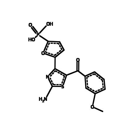 COc1cccc(C(=O)c2sc(N)nc2-c2ccc(P(=O)(O)O)o2)c1